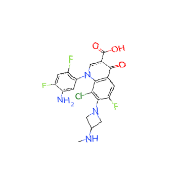 CNC1CN(c2c(F)cc3c(=O)c(C(=O)O)cn(-c4cc(N)c(F)cc4F)c3c2Cl)C1